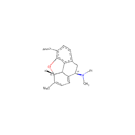 CCN(C)[C@@H]1Cc2ccc(OC)c3c2C2C1=CC=C(OC)[C@@H]2O3